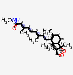 CNC(=O)/C=C(C)/C=C/C=C(C)/C=C/C1=C(C)CCC(C2(C)OOCC2C)C1(C)C